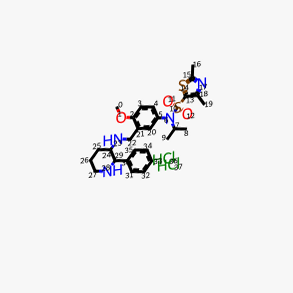 COc1ccc(N(C(C)C)S(=O)(=O)c2sc(C)nc2C)cc1CNC1CCCNC1c1ccccc1.Cl.Cl